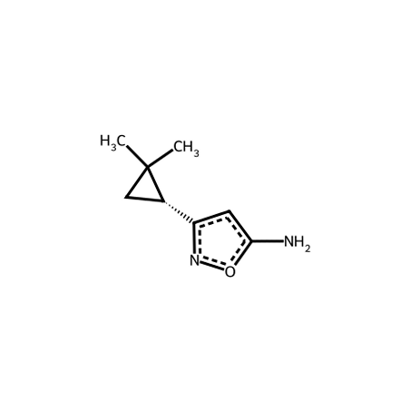 CC1(C)C[C@H]1c1cc(N)on1